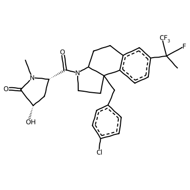 CN1C(=O)[C@@H](O)C[C@H]1C(=O)N1CCC2(Cc3ccc(Cl)cc3)c3ccc(C(C)(F)C(F)(F)F)cc3CCC12